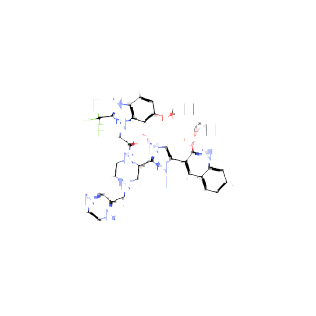 COc1ccc2nc(C(F)(F)F)n(CC(=O)N3CCN(Cc4cnccn4)CC3c3ncc(-c4cc5ccccc5nc4OC)[nH]3)c2c1